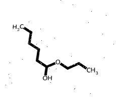 CCCCCC(O)OCCC